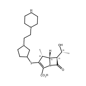 C[C@@H](O)[C@H]1C(=O)N2C(C(=O)O)=C(SC3CCN(CCN4CCNCC4)C3)[C@H](C)[C@H]12